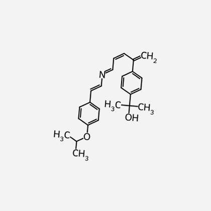 C=C(\C=C/C=N/C=C/c1ccc(OC(C)C)cc1)c1ccc(C(C)(C)O)cc1